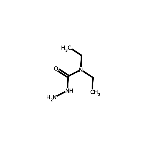 CCN(CC)C(=O)NN